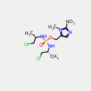 C[C@H](CCl)NP(=O)(N[C@H](C)CCl)OCc1cnc([N+](=O)[O-])n1C